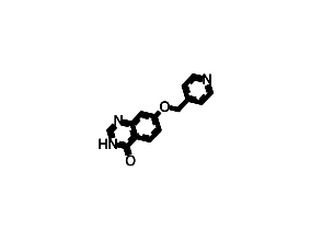 O=c1[nH]cnc2cc(OCc3ccncc3)ccc12